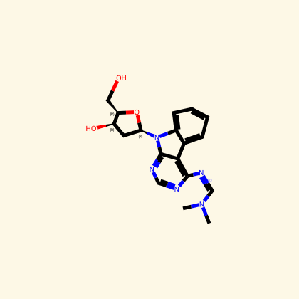 CN(C)/C=N\c1ncnc2c1c1ccccc1n2[C@H]1C[C@@H](O)[C@@H](CO)O1